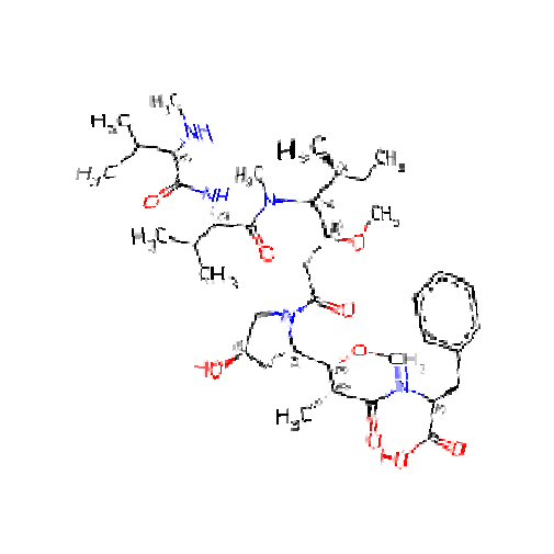 CC[C@H](C)[C@@H]([C@@H](CC(=O)N1C[C@H](O)C[C@H]1[C@H](OC)[C@@H](C)C(=O)N[C@@H](Cc1ccccc1)C(=O)O)OC)N(C)C(=O)[C@@H](NC(=O)[C@@H](NC)C(C)C)C(C)C